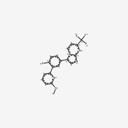 COc1cccc(-c2cc(-c3cnc4nc(C(F)(F)F)ccn34)ccc2F)n1